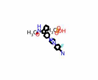 CC(=O)N[C@H]1CC2(CCC(N3CCN(c4ccc(C#N)c(F)c4)CC3)CC2)c2ccccc21.CS(=O)(=O)O